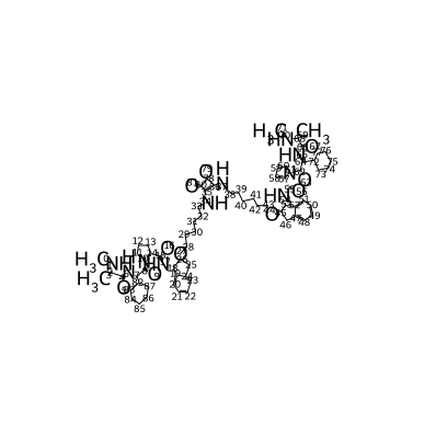 CN[C@@H](C)C(=O)N[C@H](C(=O)N1CCC[C@H]1C(=O)N[C@H]1c2ccccc2C[C@H]1OCCCCCCNc1c(NCCCCCCO[C@@H]2Cc3ccccc3[C@@H]2NC(=O)[C@@H]2CCCN2C(=O)[C@@H](NC(=O)[C@H](C)NC)C2CCCCC2)c(=O)c1=O)C1CCCCC1